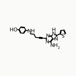 Nc1nc(C#CCCCNc2ccc(O)cc2)nc2[nH]c(-c3cccs3)nc12